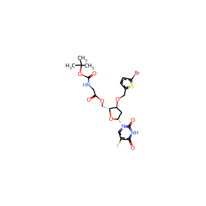 CC(C)(C)OC(=O)NCC(=O)OC[C@H]1O[C@@H](n2cc(F)c(=O)[nH]c2=O)C[C@@H]1OCc1ccc(Br)s1